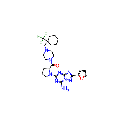 Nc1nc(N2CCC[C@H]2C(=O)N2CCN(CC3(C(F)(F)F)CCCCC3)CC2)nc2nc(-c3ccco3)nn12